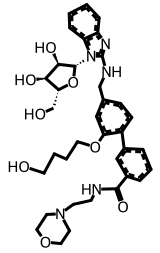 O=C(NCCN1CCOCC1)c1cccc(-c2ccc(CNc3nc4ccccc4n3[C@@H]3O[C@H](CO)[C@@H](O)[C@H]3O)cc2OCCCCO)c1